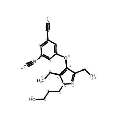 [C-]#[N+]c1cc(C#N)cc(Oc2c(CC)nn(CCCO)c2CC)c1